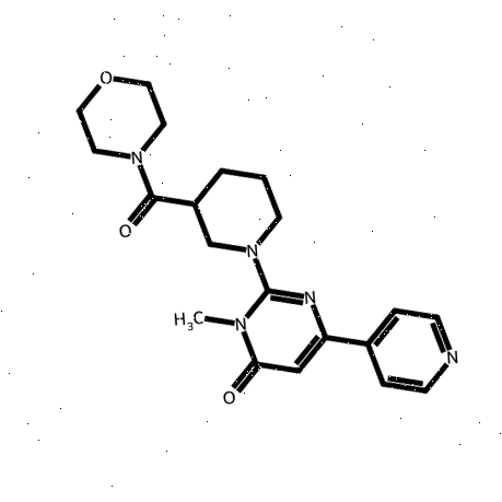 Cn1c(N2CCCC(C(=O)N3CCOCC3)C2)nc(-c2ccncc2)cc1=O